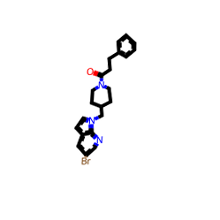 O=C(CCc1ccccc1)N1CCC(Cn2ccc3cc(Br)cnc32)CC1